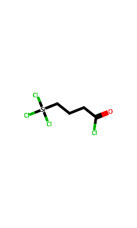 O=C(Cl)CCC[Si](Cl)(Cl)Cl